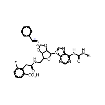 CCNC(=O)Nc1ncnc2c1ncn2C1OC(CNC(=O)Cc2c(F)cccc2C(=O)O)C2O[C@H](/C=C/c3ccccc3)OC21